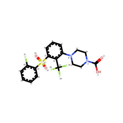 O=C(O)N1CCN(c2cccc(S(=O)(=O)c3ccccc3F)c2C(F)(F)F)CC1